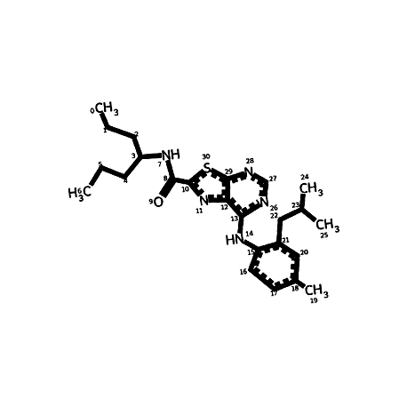 CCCC(CCC)NC(=O)c1nc2c(Nc3ccc(C)cc3CC(C)C)ncnc2s1